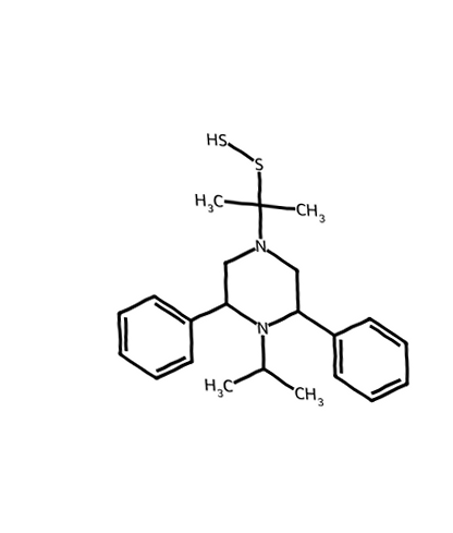 CC(C)N1C(c2ccccc2)CN(C(C)(C)SS)CC1c1ccccc1